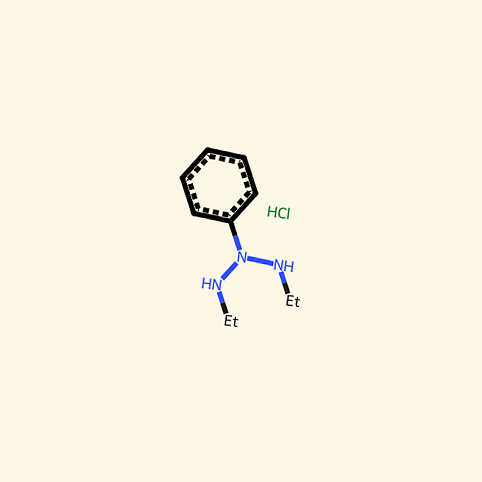 CCNN(NCC)c1ccccc1.Cl